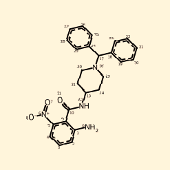 Nc1cccc([N+](=O)[O-])c1C(=O)NC1CCN(C(c2ccccc2)c2ccccc2)CC1